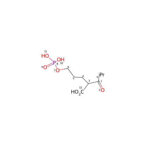 CC(C)C(=O)C(CCCOP(=O)(O)O)C(=O)O